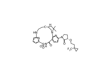 CC1(C)C[C@@H]2CCCNc3cccc(n3)S(=O)(=O)NC(=O)c3ccc(N4CC[C@H](OCCC5(C(F)(F)F)CC5)C4=O)nc3N1C2